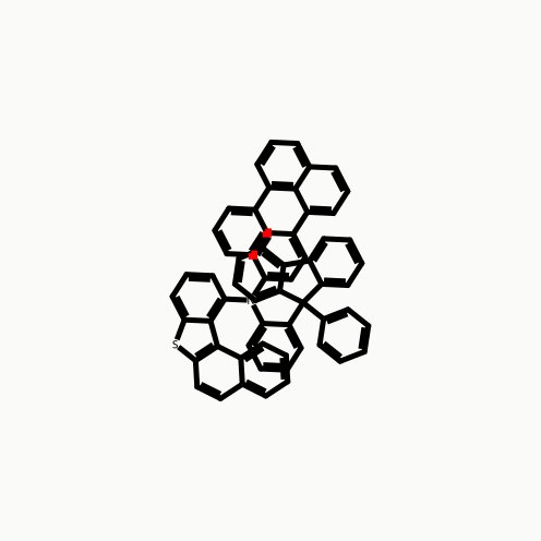 c1ccc(-c2cccc3cccc(-c4ccc(N(c5ccccc5C5(c6ccccc6)c6ccccc6-c6ccccc65)c5cccc6sc7ccc8ccccc8c7c56)cc4)c23)cc1